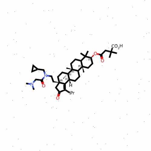 CC(C)C1=C2[C@H]3CCC4[C@@]5(C)CC[C@H](OC(=O)CC(C)(C)C(=O)O)C(C)(C)C5CC[C@@]4(C)[C@]3(C)CC[C@@]2(CCN(CC2CC2)C(=O)CN(C)C)CC1=O